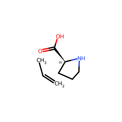 C=CC.O=C(O)[C@@H]1CCCN1